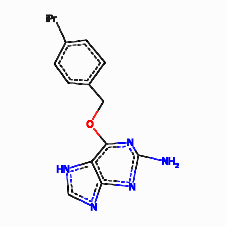 CC(C)c1ccc(COc2nc(N)nc3nc[nH]c23)cc1